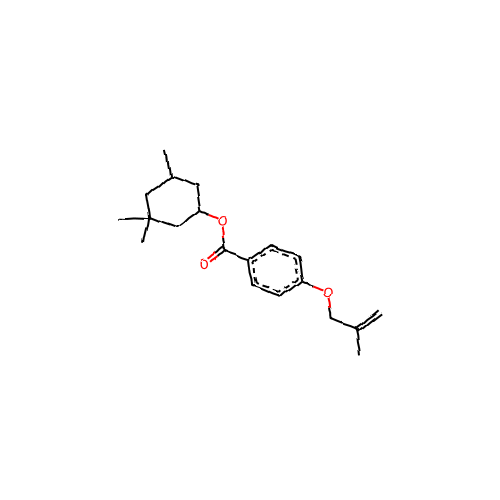 C=C(C)COc1ccc(C(=O)OC2CC(C)CC(C)(C)C2)cc1